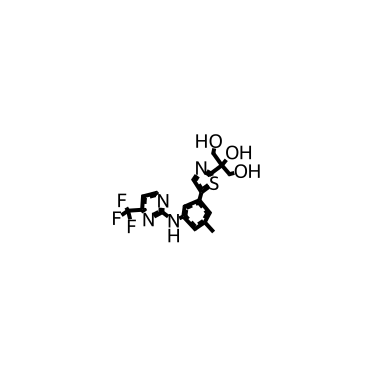 Cc1cc(Nc2nccc(C(F)(F)F)n2)cc(-c2cnc(C(O)(CO)CO)s2)c1